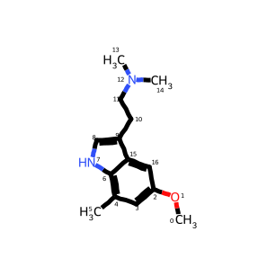 COc1cc(C)c2[nH]cc(CCN(C)C)c2c1